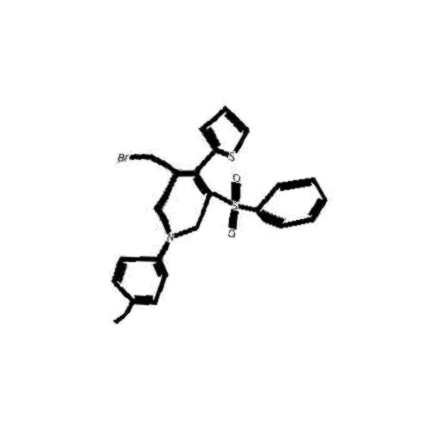 Cc1ccc(N2CC(S(=O)(=O)c3ccccc3)=C(c3cccs3)C(CBr)C2)cc1